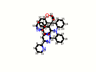 c1ccc(-c2cc(-c3ccccn3)nc(-c3ccccc3N3c4ccccc4C4(c5ccccc5Oc5ccccc54)c4ccccc43)n2)nc1